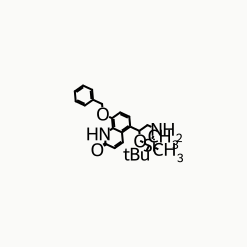 CC(C)(C)[Si](C)(C)OC(CN)c1ccc(OCc2ccccc2)c2[nH]c(=O)ccc12